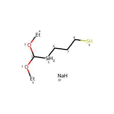 CCOC(OCC)[SiH2]CCCS.[NaH]